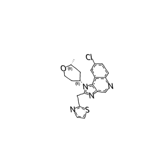 C[C@@H]1C[C@H](n2c(Cc3nccs3)nc3cnc4ccc(Cl)cc4c32)CCO1